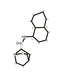 C1CN2CCC1CC2.O=CNC1CCCC2CCCCC21